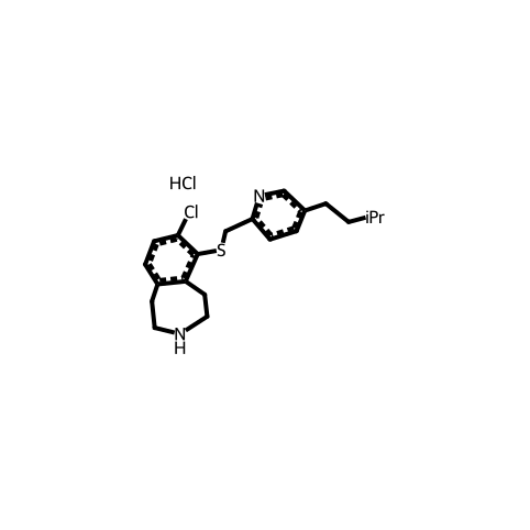 CC(C)CCc1ccc(CSc2c(Cl)ccc3c2CCNCC3)nc1.Cl